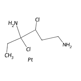 CCC(N)(Cl)C(Cl)CCN.[Pt]